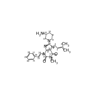 CC(C)=CCn1c(N2CCCC(N)C2)nc2c1c(=O)n(C)c(=O)n2/C=C/c1ccccc1